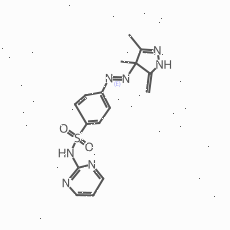 C=C1NN=C(C)C1(C)/N=N/c1ccc(S(=O)(=O)Nc2ncccn2)cc1